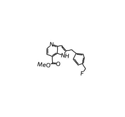 COC(=O)c1ccnc2cc(Cc3ccc(CF)cc3)[nH]c12